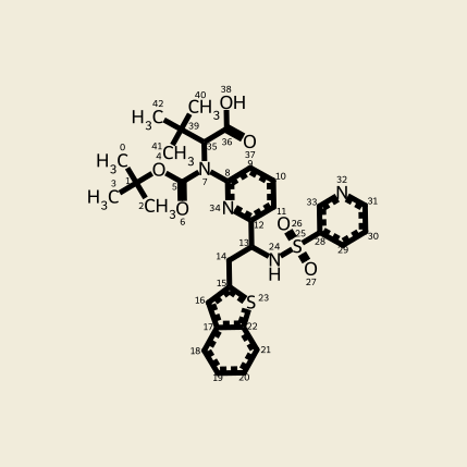 CC(C)(C)OC(=O)N(c1cccc(C(Cc2cc3ccccc3s2)NS(=O)(=O)c2cccnc2)n1)C(C(=O)O)C(C)(C)C